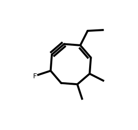 CC/C1=C/C(C)C(C)CC(F)C#C1